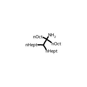 CCCCCCCCC(N)(CCCCCCCC)C(CCCCCCC)CCCCCCC